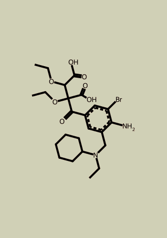 CCOC(C(=O)O)C(OCC)(C(=O)O)C(=O)c1cc(Br)c(N)c(CN(CC)C2CCCCC2)c1